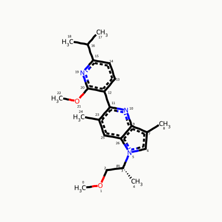 COC[C@@H](C)n1cc(C)c2nc(-c3ccc(C(C)C)nc3OC)c(C)cc21